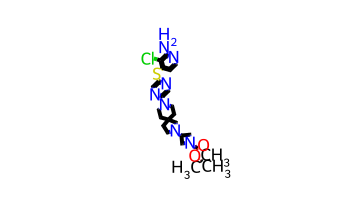 CC(C)(C)OC(=O)N1CC(N2CCC3(CCN(c4cnc(Sc5ccnc(N)c5Cl)cn4)CC3)C2)C1